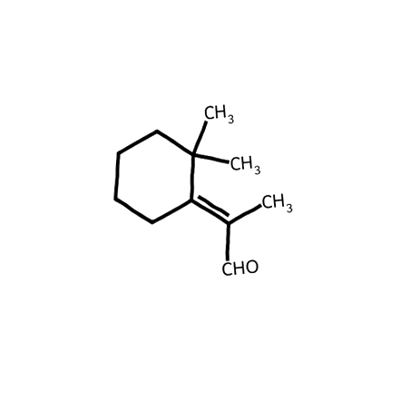 CC(C=O)=C1CCCCC1(C)C